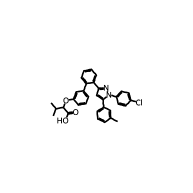 Cc1cccc(-c2cc(-c3ccccc3-c3cccc(OC(C(=O)O)C(C)C)c3)nn2-c2ccc(Cl)cc2)c1